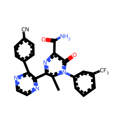 Cc1c(-c2nccnc2-c2ccc(C#N)cc2)nc(C(N)=O)c(=O)n1-c1cccc(C(F)(F)F)c1